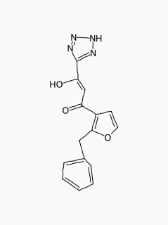 O=C(C=C(O)c1nn[nH]n1)c1ccoc1Cc1ccccc1